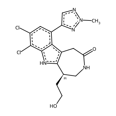 Cn1ncc(-c2cc(Cl)c(Cl)c3[nH]c4c(c23)CC(=O)NC[C@H]4CCO)n1